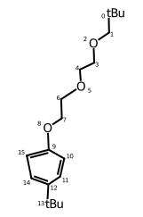 CC(C)(C)COCCOCCOc1ccc(C(C)(C)C)cc1